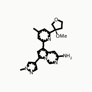 CO[C@]1(c2cc(C)cc(-c3cc(-c4cnn(C)c4)n4cnc(N)cc34)n2)CCOC1